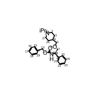 CC(C)N1CCC(COC[C@H](NC(=O)OCc2ccccc2)c2ccccc2)CC1